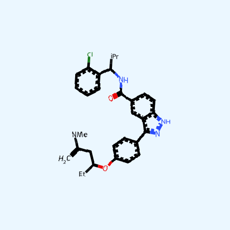 C=C(CC(CC)Oc1ccc(-c2n[nH]c3ccc(C(=O)NC(c4ccccc4Cl)C(C)C)cc23)cc1)NC